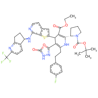 CCOC(=O)C1=C([C@@H]2CCCN2C(=O)OC(C)(C)C)NC(CCc2ccc(F)cc2)=C(c2n[nH]c(=O)o2)C1c1cc2ccnc(N[C@@H]3CCc4nc(C(F)(F)F)ccc43)c2s1